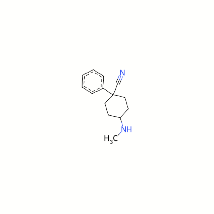 CNC1CCC(C#N)(c2ccccc2)CC1